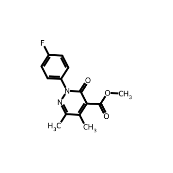 COC(=O)c1c(C)c(C)nn(-c2ccc(F)cc2)c1=O